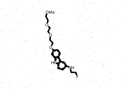 COCCOCCOCCOc1ccc2c(c1)[nH]c1ccc(NCCF)cc12